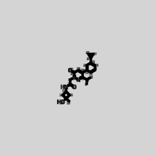 CC(C)c1nn(CC(=O)NC2CC(C)(O)C2)c(=O)cc1-c1cccc(C2CC2)c1